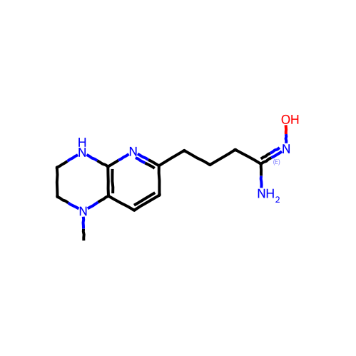 CN1CCNc2nc(CCC/C(N)=N\O)ccc21